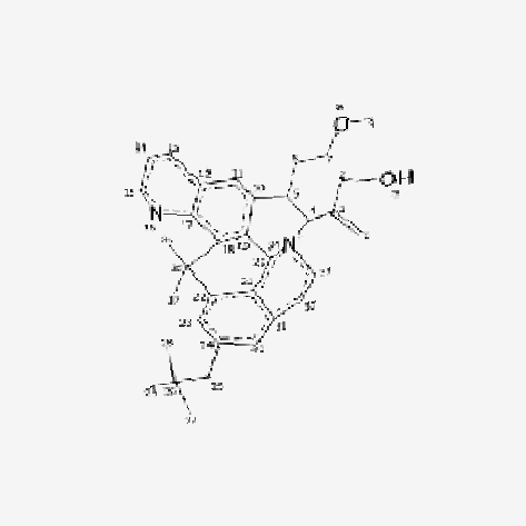 C=C(CO)C1C(CCOC)c2cc3cccnc3c3c2-c2c4c(cc(CC(C)(C)C)cc4cc[n+]21)C3(C)C